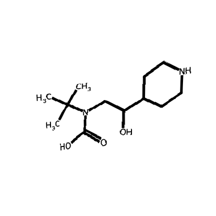 CC(C)(C)N(CC(O)C1CCNCC1)C(=O)O